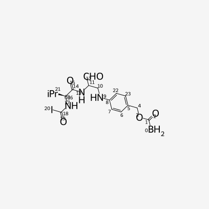 BC(=O)OCc1ccc(NCC(C=O)NC(=O)[C@@H](NC(=O)I)C(C)C)cc1